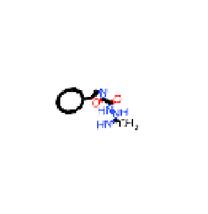 CC(=N)NNC(=O)c1ncc(C2CCCCCCCCC2)o1